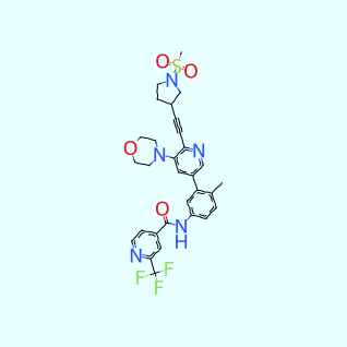 Cc1ccc(NC(=O)c2ccnc(C(F)(F)F)c2)cc1-c1cnc(C#CC2CCN(S(C)(=O)=O)C2)c(N2CCOCC2)c1